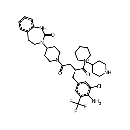 Nc1c(Cl)cc(C[C@@H](CC(=O)N2CCC(N3CCc4ccccc4NC3=O)CC2)C(=O)[N+]2(C3CCNCC3)CCCCC2)cc1C(F)(F)F